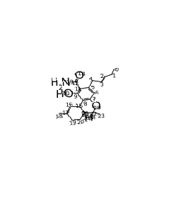 CCCCCc1cc2c(c(O)c1C(N)=O)C1C=C(C)CC[C@H]1C(C)(C)O2